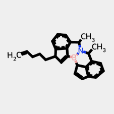 C=CCCCC1C=C2B3C4C=Cc5cccc(c54)C(C)N3C(C)c3cccc1c32